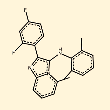 Cc1cccc(C)c1Nc1c(-c2ccc(F)cc2F)nc2cccc(C)n12